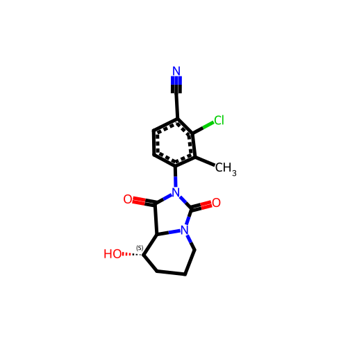 Cc1c(N2C(=O)C3[C@@H](O)CCCN3C2=O)ccc(C#N)c1Cl